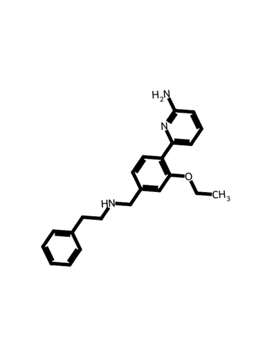 CCOc1cc(CNCCc2ccccc2)ccc1-c1cccc(N)n1